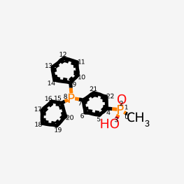 CP(=O)(O)c1ccc(P(c2ccccc2)c2ccccc2)cc1